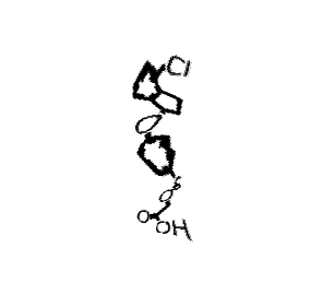 O=C(O)COSc1ccc(OC2CCc3c(Cl)cccc32)cc1